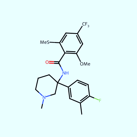 COc1cc(C(F)(F)F)cc(SC)c1C(=O)NC1(c2ccc(F)c(C)c2)CCCN(C)C1